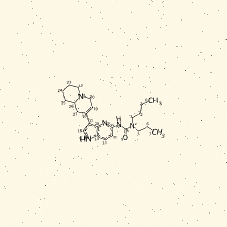 CCCCN(CCC)C(=O)Nc1ccc2[nH]cc(C3=CCN4CCCCC4C3)c2n1